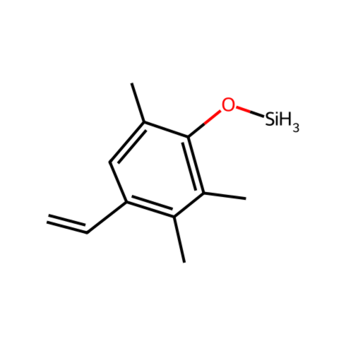 C=Cc1cc(C)c(O[SiH3])c(C)c1C